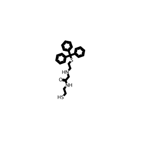 O=C(CNCCSC(c1ccccc1)(c1ccccc1)c1ccccc1)NCCS